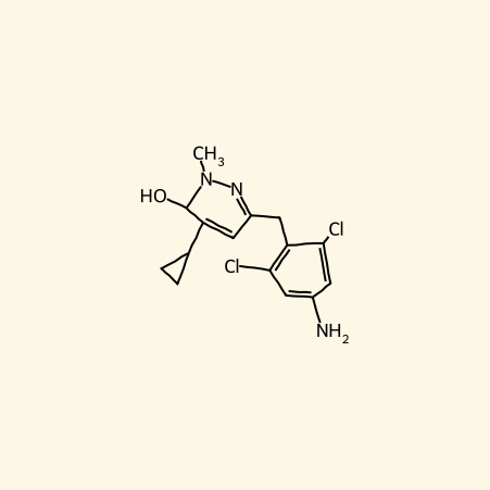 CN1N=C(Cc2c(Cl)cc(N)cc2Cl)C=C(C2CC2)C1O